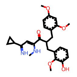 CN/C(=C\C(=N)C1CC1)C(=O)C(Cc1ccc(OC)cc1OC)Cc1cccc(O)c1OC